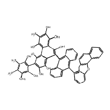 Bc1c(B)c(O)c(-c2c(O)c(O)c3c(-c4c5ccccc5c(-c5cccc6oc7c8ccccc8ccc7c56)c5ccccc45)c(O)c4c(O)c(O)c(B)c(O)c4c3c2O)c(O)c1O